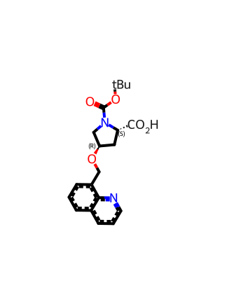 CC(C)(C)OC(=O)N1C[C@H](OCc2cccc3cccnc23)C[C@H]1C(=O)O